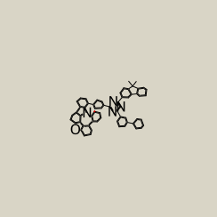 CC1(C)c2ccccc2-c2cc(-c3nc(-c4ccc(-c5cccc6c7ccc8oc9cccc%10c%11ccccc%11n(c56)c7c8c9%10)cc4)nc(-c4cccc(-c5ccccc5)c4)n3)ccc21